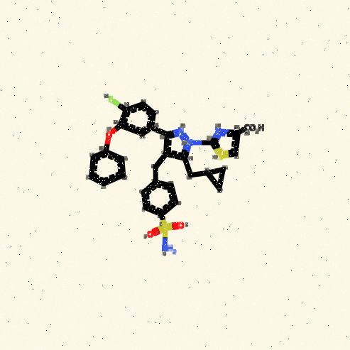 NS(=O)(=O)c1ccc(Cc2c(-c3ccc(F)c(Oc4ccccc4)c3)nn(-c3nc(C(=O)O)cs3)c2CC2CC2)cc1